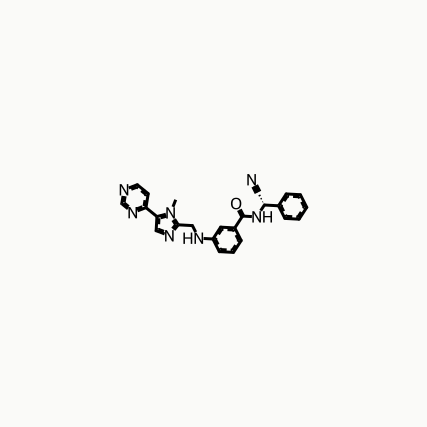 Cn1c(-c2ccncn2)cnc1CNc1cccc(C(=O)N[C@H](C#N)c2ccccc2)c1